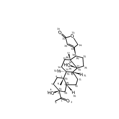 CC(=O)[C@]1(O)CC[C@@]2(C)[C@H](CC[C@@H]3[C@@H]2CC[C@]2(C)[C@@H](C4=CC(=O)OC4)CC[C@]32O)C1